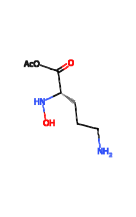 CC(=O)OC(=O)[C@H](CCCN)NO